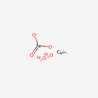 O.O.O=[Se]([O-])[O-].[Cu+2]